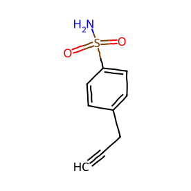 C#CCc1ccc(S(N)(=O)=O)cc1